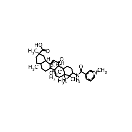 C[n+]1cccc(C(=O)NC2CC[C@]3(C)[C@H]4C(=O)C=C5[C@@H]6C[C@@](C)(C(=O)O)CC[C@]6(C)CC[C@@]5(C)[C@]4(C)CC[C@H]3C2(C)C)c1